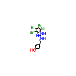 Oc1ccc(CCNc2nc3c(Br)c(Br)c(Br)c(Br)c3[nH]2)cc1